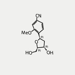 COc1cc(C#N)ccc1[C@H]1C[C@@H](O)[C@@H](CO)O1